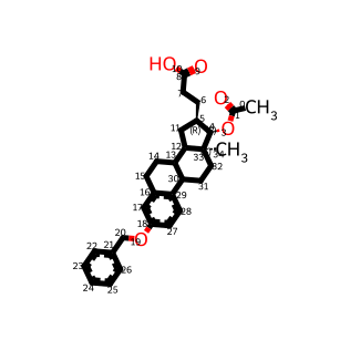 CC(=O)O[C@H]1[C@H](CCC(=O)O)CC2C3CCc4cc(OCc5ccccc5)ccc4C3CC[C@@]21C